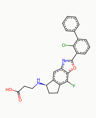 O=C(O)CCN[C@@H]1CCc2c1cc1nc(-c3cccc(-c4ccccc4)c3Cl)oc1c2F